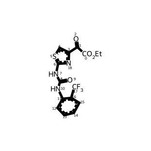 CCOC(=O)C(=O)c1csc(NC(=O)Nc2ccccc2C(F)(F)F)n1